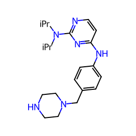 CC(C)N(c1nccc(Nc2ccc(CN3CCNCC3)cc2)n1)C(C)C